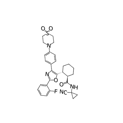 N#CC1(NC(=O)[C@@H]2CCCC[C@H]2c2oc(-c3ccccc3F)nc2-c2ccc(N3CCS(=O)(=O)CC3)cc2)CC1